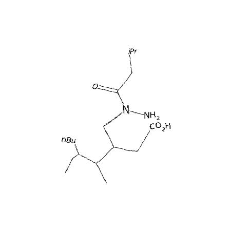 CCCCC(C)C(C)C(CC(=O)O)CN(N)C(=O)CC(C)C